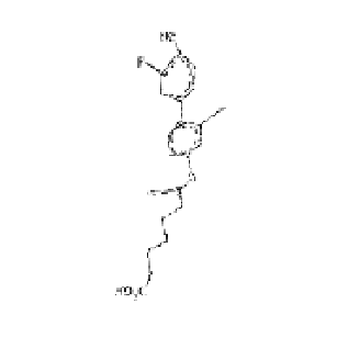 N#Cc1ccc(-c2ccc(OC(=O)CCCCCC(=O)O)cc2F)cc1F